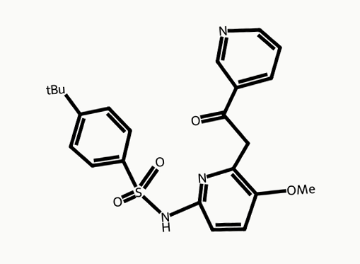 COc1ccc(NS(=O)(=O)c2ccc(C(C)(C)C)cc2)nc1CC(=O)c1cccnc1